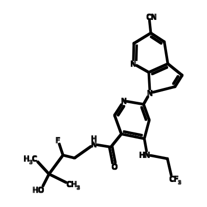 CC(C)(O)C(F)CNC(=O)c1cnc(-n2ccc3cc(C#N)cnc32)cc1NCC(F)(F)F